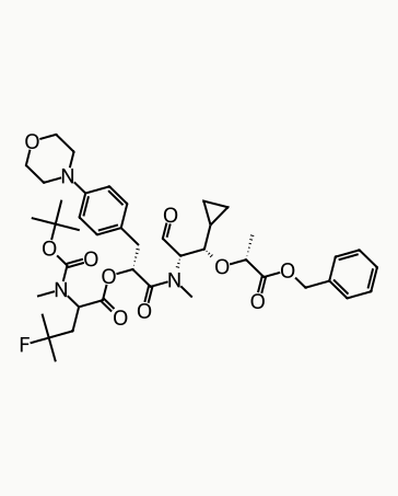 C[C@@H](O[C@@H](C1CC1)[C@@H](C=O)N(C)C(=O)[C@@H](Cc1ccc(N2CCOCC2)cc1)OC(=O)C(CC(C)(C)F)N(C)C(=O)OC(C)(C)C)C(=O)OCc1ccccc1